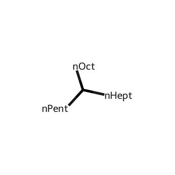 [CH2]CCCCC(CCCCCCC)CCCCCCCC